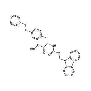 CC(C)(C)OC(=O)[C@H](Cc1ccc(OCc2cccnc2)cc1)NC(=O)OCC1c2ccccc2-c2ccccc21